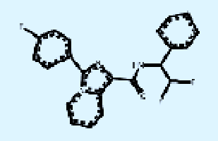 O=C(NC(c1ccccc1)C(F)F)c1nc(-c2ccc(F)cc2)n2ccccc12